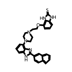 S=c1[nH]c2cccc(OCCN3CCN(c4cccc5[nH]c(-c6ccc7ccccc7c6)nc45)CC3)c2[nH]1